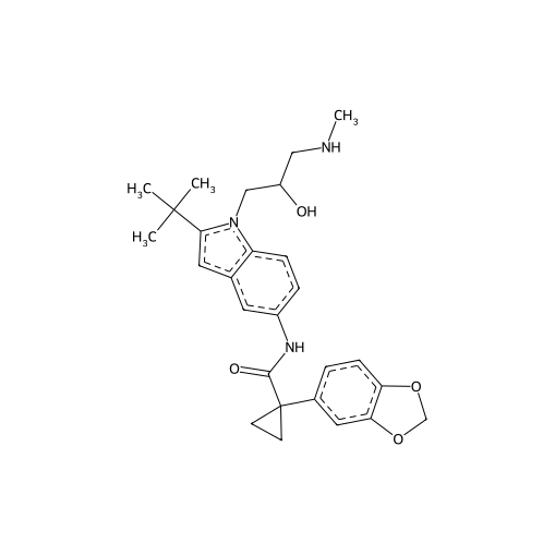 CNCC(O)Cn1c(C(C)(C)C)cc2cc(NC(=O)C3(c4ccc5c(c4)OCO5)CC3)ccc21